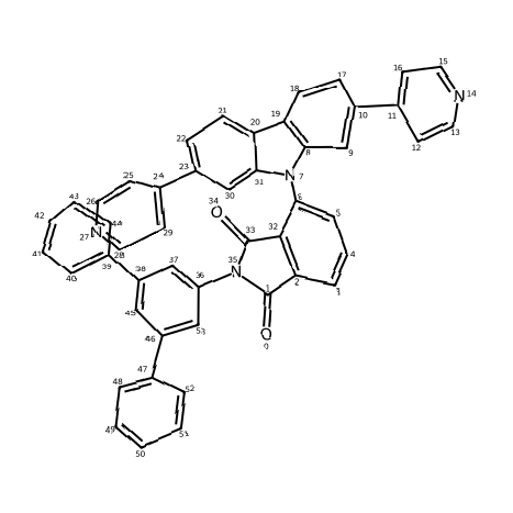 O=C1c2cccc(-n3c4cc(-c5ccncc5)ccc4c4ccc(-c5ccncc5)cc43)c2C(=O)N1c1cc(-c2ccccc2)cc(-c2ccccc2)c1